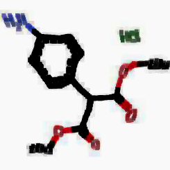 CC(C)(C)OC(=O)C(C(=O)OC(C)(C)C)c1ccc(N)cc1.Cl